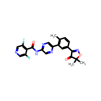 Cc1ccc(C2=NOC(C)(C)C2=O)cc1-c1cnc(NC(=O)c2c(F)cncc2F)cn1